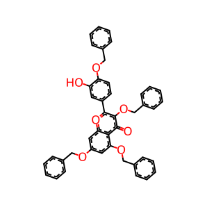 O=c1c(OCc2ccccc2)c(-c2ccc(OCc3ccccc3)c(O)c2)oc2cc(OCc3ccccc3)cc(OCc3ccccc3)c12